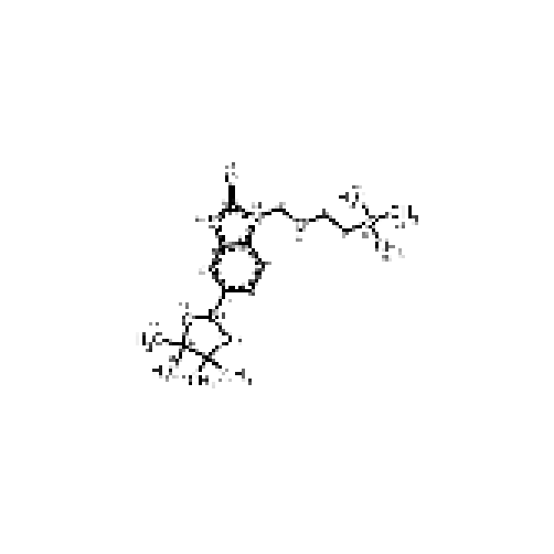 CC1(C)OB(c2ccc3c(c2)sc(=O)n3COCCS(C)(C)C)OC1(C)C